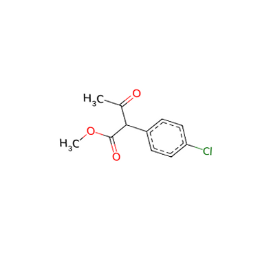 COC(=O)C(C(C)=O)c1ccc(Cl)cc1